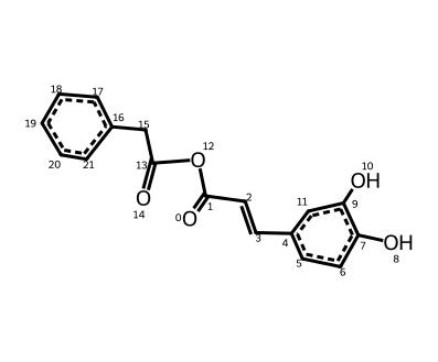 O=C(C=Cc1ccc(O)c(O)c1)OC(=O)Cc1ccccc1